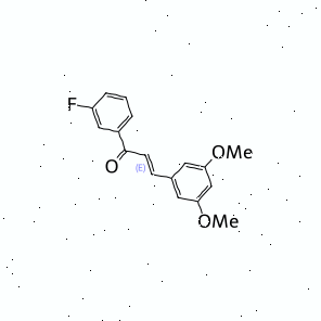 COc1cc(/C=C/C(=O)c2cccc(F)c2)cc(OC)c1